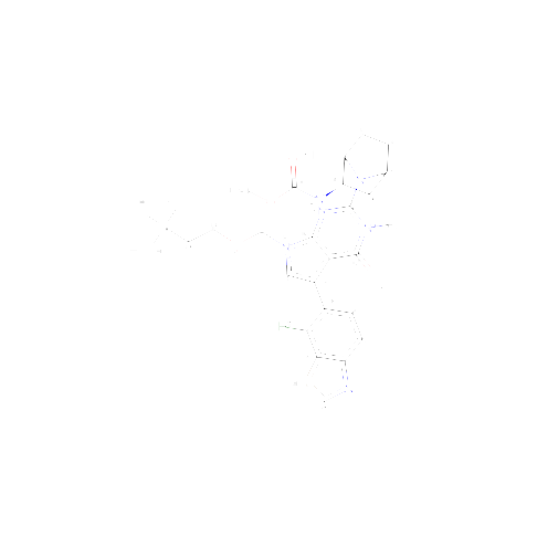 Cn1c(N2C3CC[C@@H]2[C@H](NC(=O)OC(C)(C)C)C3)nc2c(c(-c3ccc4ncsc4c3Cl)cn2COCC[Si](C)(C)C)c1=O